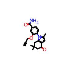 C#CCOc1cc(C(N)=O)ccc1-n1c(C)cc2c1CC(C)(C)CC2=O